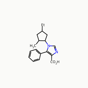 CCC1CC(C)C(n2cnc(C(=O)O)c2-c2ccccc2)C1